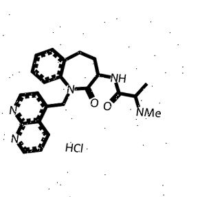 CNC(C)C(=O)NC1CCc2ccccc2N(Cc2ccnc3ncccc23)C1=O.Cl